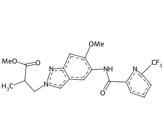 COC(=O)C(C)Cn1cc2cc(NC(=O)c3cccc(C(F)(F)F)n3)c(OC)cc2n1